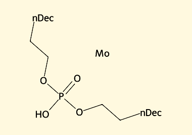 CCCCCCCCCCCCOP(=O)(O)OCCCCCCCCCCCC.[Mo]